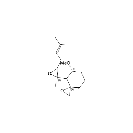 CO[C@@H]1CCC[C@]2(CO2)C1[C@@]1(C)OC1CC=C(C)C